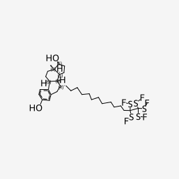 C[C@]12CC[C@@H]3c4ccc(O)cc4C[C@@H](CCCCCCCCCCCCC(SF)(SF)C(SF)(SF)SF)[C@H]3[C@@H]1CC[C@@H]2O